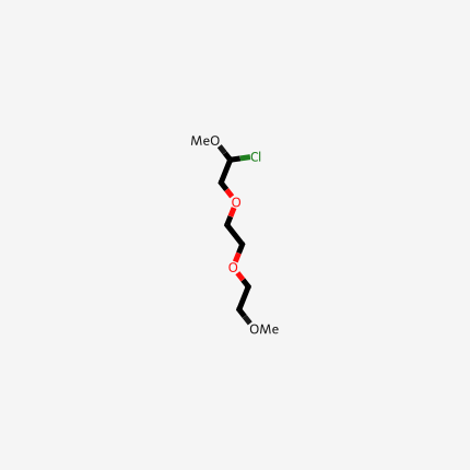 COCCOCCOCC(Cl)OC